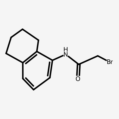 O=C(CBr)Nc1cccc2c1CCCC2